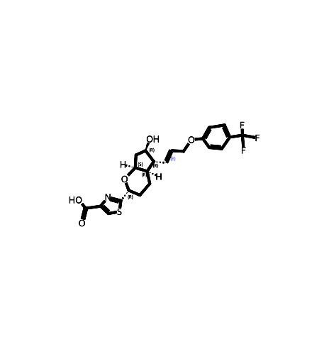 O=C(O)c1csc([C@H]2CC[C@@H]3[C@@H](/C=C/COc4ccc(C(F)(F)F)cc4)[C@H](O)C[C@@H]3O2)n1